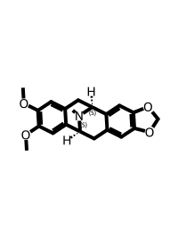 COc1cc2c(cc1OC)[C@@H]1Cc3cc4c(cc3[C@H](C2)N1C)OCO4